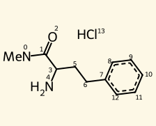 CNC(=O)C(N)CCc1ccccc1.Cl